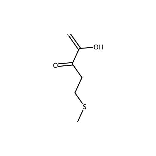 [CH]=C(O)C(=O)CCSC